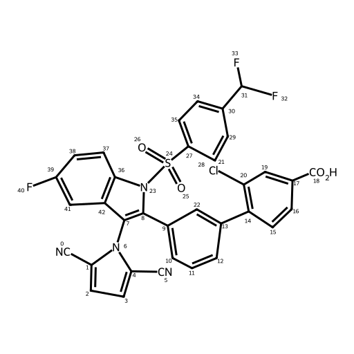 N#Cc1ccc(C#N)n1-c1c(-c2cccc(-c3ccc(C(=O)O)cc3Cl)c2)n(S(=O)(=O)c2ccc(C(F)F)cc2)c2ccc(F)cc12